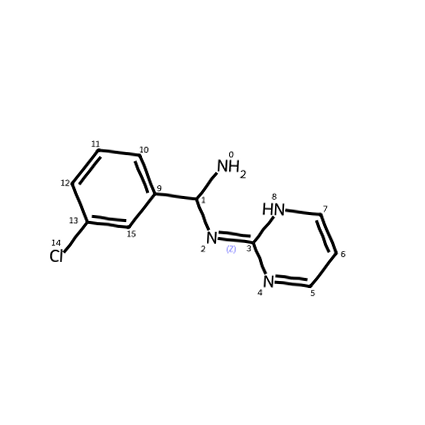 NC(/N=c1/nccc[nH]1)c1cccc(Cl)c1